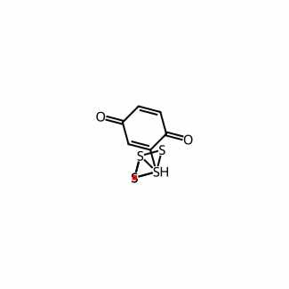 O=C1C=CC(=O)C([SH]234SS2(S3)S4)=C1